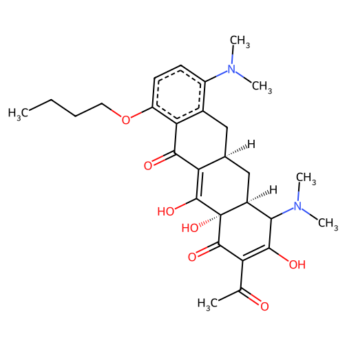 CCCCOc1ccc(N(C)C)c2c1C(=O)C1=C(O)[C@]3(O)C(=O)C(C(C)=O)=C(O)C(N(C)C)[C@@H]3C[C@@H]1C2